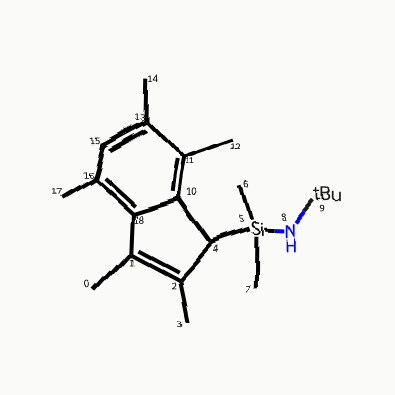 CC1=C(C)C([Si](C)(C)NC(C)(C)C)c2c(C)c(C)cc(C)c21